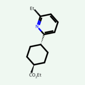 CCOC(=O)[C@H]1CC[C@H](c2cccc(CC)n2)CC1